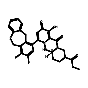 COC(=O)C1CC[C@H]2Nn3c(-c4cc(F)c(F)c5c4Cc4ccccc4SC5)cc(=O)c(O)c3C(=O)N2C1